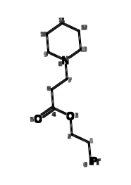 CC(C)CCOC(=O)CCN1CCCCC1